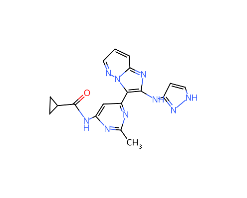 Cc1nc(NC(=O)C2CC2)cc(-c2c(Nc3cc[nH]n3)nc3cccnn23)n1